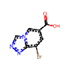 O=C(O)c1cc(Br)c2nncn2c1